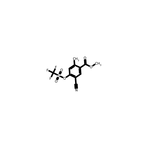 COC(=O)c1cc(C#N)c(OS(=O)(=O)C(F)(F)F)cc1C